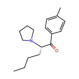 CCCC[C@@H](C(=O)c1ccc(C)cc1)N1CCCC1